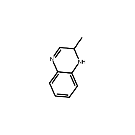 CC1C=Nc2ccccc2N1